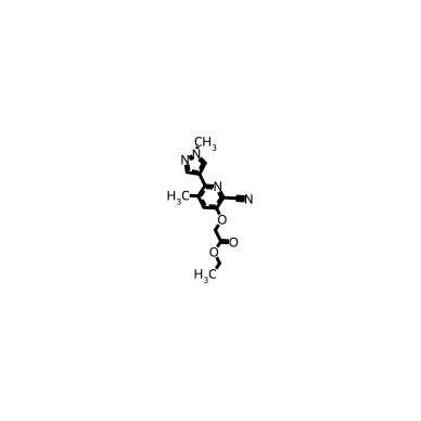 CCOC(=O)COc1cc(C)c(-c2cnn(C)c2)nc1C#N